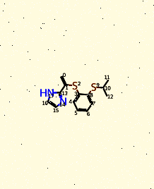 C=C(Sc1ccccc1SC(C)C)c1ncc[nH]1